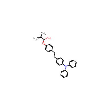 C=C(C)C(O)Oc1ccc(CCc2ccc(N(c3ccccc3)c3ccccc3)cc2)cc1